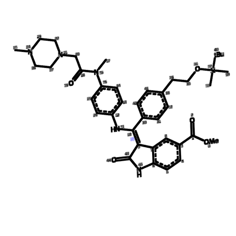 COC(=O)c1ccc2c(c1)/C(=C(/Nc1ccc(N(C)C(=O)CN3CCN(C)CC3)cc1)c1ccc(CCO[Si](C)(C)C(C)(C)C)cc1)C(=O)N2